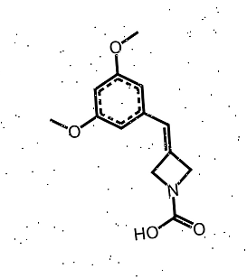 COc1cc(C=C2CN(C(=O)O)C2)cc(OC)c1